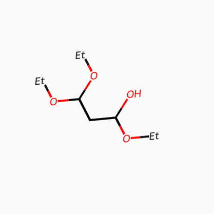 CCOC(O)CC(OCC)OCC